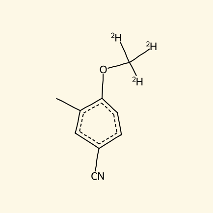 [2H]C([2H])([2H])Oc1ccc(C#N)cc1C